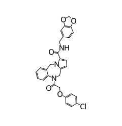 O=C(NCc1ccc2c(c1)OCO2)c1ccc2n1Cc1ccccc1N(C(=O)COc1ccc(Cl)cc1)C2